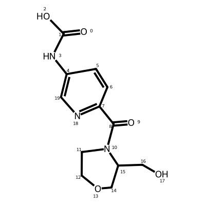 O=C(O)Nc1ccc(C(=O)N2CCOCC2CO)nc1